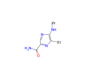 CCc1nc(C(N)=O)cnc1NC(C)C